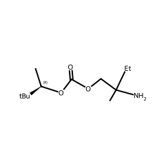 CCC(C)(N)COC(=O)O[C@H](C)C(C)(C)C